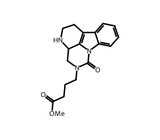 COC(=O)CCCN1CC2NCCc3c2n(c2ccccc32)C1=O